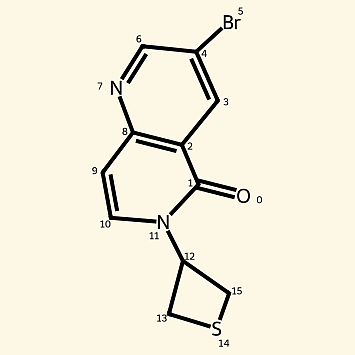 O=c1c2cc(Br)cnc2ccn1C1CSC1